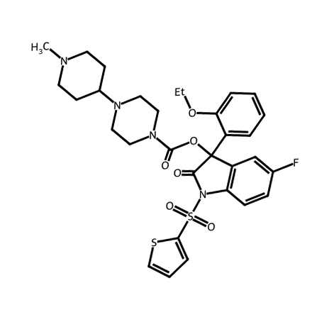 CCOc1ccccc1C1(OC(=O)N2CCN(C3CCN(C)CC3)CC2)C(=O)N(S(=O)(=O)c2cccs2)c2ccc(F)cc21